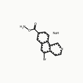 NOC(=O)c1ccc2c(c1)cc(Br)c1ccncc12.[NaH]